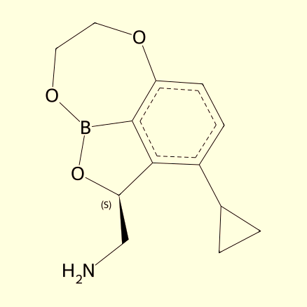 NC[C@H]1OB2OCCOc3ccc(C4CC4)c1c32